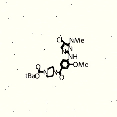 CNc1nc(Nc2ccc(C(=O)N3CCN(C(=O)OC(C)(C)C)CC3)cc2OC)ncc1Cl